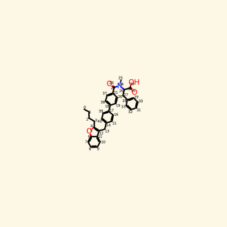 CCCCc1oc2ccccc2c1Cc1ccc(-c2ccc(C(=O)N(C)C(Cc3ccccc3)C(=O)O)cc2)cc1